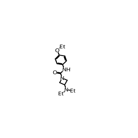 CCOc1ccc(NC(=O)N2CC(N(CC)CC)C2)cc1